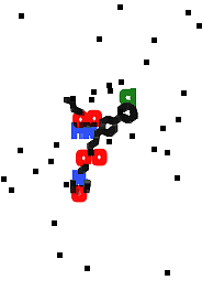 CCCCOC(=O)NC(CCC(=O)OCCN1CCOCC1)c1ccc(-c2cccc(Cl)c2)cc1